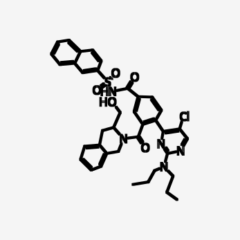 CCCN(CCC)c1ncc(Cl)c(-c2ccc(C(=O)NS(=O)(=O)c3ccc4ccccc4c3)cc2C(=O)N2Cc3ccccc3CC2CO)n1